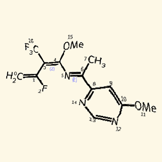 C=C(F)/C(=C(\N=C(/C)c1cc(OC)ncn1)OC)C(F)(F)F